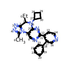 CCC1c2nnc(C)n2-c2cnc(-c3ccncc3-c3ccccc3)nc2N1C1CCC1